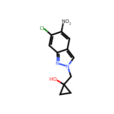 O=[N+]([O-])c1cc2cn(CC3(O)CC3)nc2cc1Cl